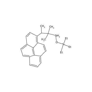 CC[Si](CC)(CC)O[SiH2]C(C)(C)C(C)c1ccc2ccc3cccc4ccc1c2c34